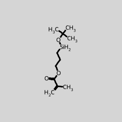 C=C(C)C(=O)OCCC[SiH2]OC(C)(C)C